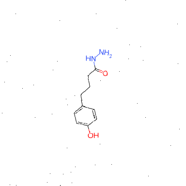 NNC(=O)CCCc1ccc(O)cc1